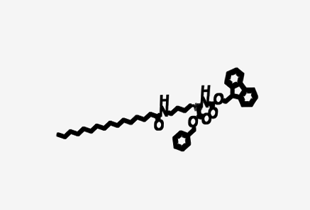 CCCCCCCCCCCCCCCC(=O)NCCCC[C@H](NC(=O)OCC1c2ccccc2-c2ccccc21)C(=O)OCc1ccccc1